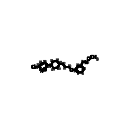 CON=Cc1cccc(OCCCC2CCN(c3ccc(Cl)nn3)CC2)c1